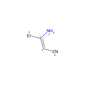 CCC(N)=CC#N